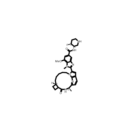 COc1cc(C(=O)N[C@H]2CNCC[C@@H]2F)cc2nc(-c3cc4ccc5nc4n3CCCCC[C@H]3CCC3C(=O)N[C@@H]5C)n(C)c12